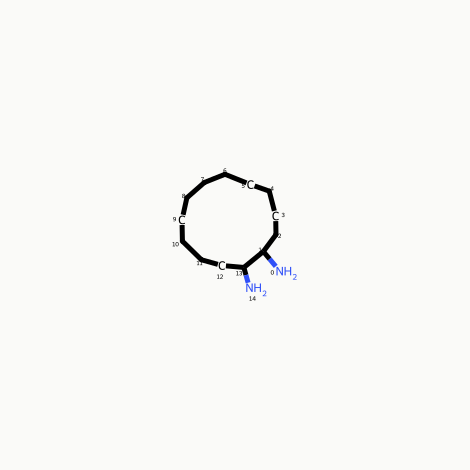 NC1CCCCCCCCCCCC1N